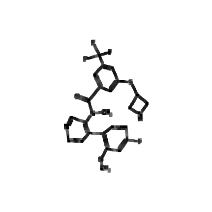 COc1cc(F)ccc1-c1ccncc1N(C)C(=O)c1cc(SC2CNC2)cc(C(F)(F)F)c1